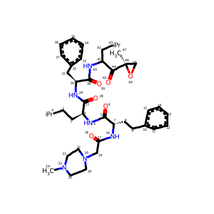 CC(C)CC[C@H](NC(=O)[C@H](CCc1ccccc1)NC(=O)CN1CCN(C)CC1)C(=O)N[C@@H](Cc1ccccc1)C(=O)NC(CC(C)C)C(=O)[C@@]1(C)CO1